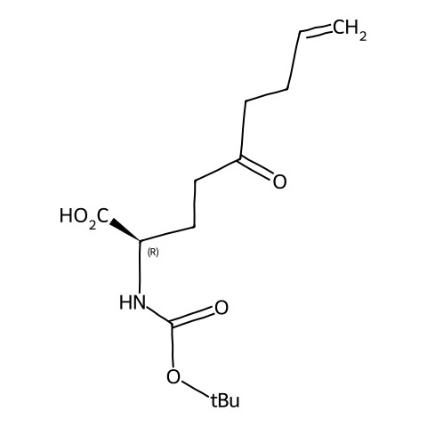 C=CCCC(=O)CC[C@@H](NC(=O)OC(C)(C)C)C(=O)O